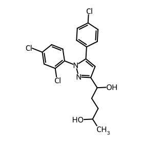 CC(O)CCC(O)c1cc(-c2ccc(Cl)cc2)n(-c2ccc(Cl)cc2Cl)n1